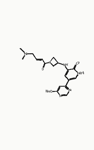 COc1cc(-c2c[nH]c(=O)c(NC3CN(C(=O)/C=C/CN(C)C)C3)c2)ncn1